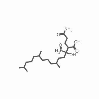 CC(C)CCCC(C)CCCC(C)CCC(O)([PH2]=O)C(CCC(N)=O)C(=O)O